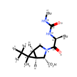 [2H]C([2H])([2H])C1(C)[C@@H]2[C@@H](C(=O)O)N(C(=O)[C@@H](NC(=O)NC(C)(C)C)C(C)(C)C)C[C@@H]21